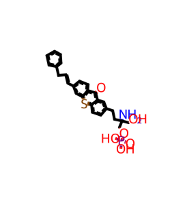 NC(CO)(CCc1ccc2sc3cc(/C=C/Cc4ccccc4)ccc3c(=O)c2c1)COP(=O)(O)O